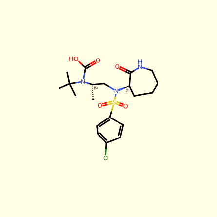 C[C@@H](CN([C@@H]1CCCCNC1=O)S(=O)(=O)c1ccc(Cl)cc1)N(C(=O)O)C(C)(C)C